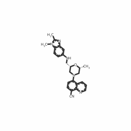 Cc1nc2cc(NC[C@H]3CN(c4ccc(C#N)c5ncccc45)C[C@@H](C)O3)ccc2n1C